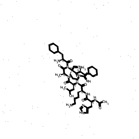 CC(=O)N[C@@H](Cc1c[nH]cn1)C(=O)N[C@@H](CCCCN)C(=O)N[C@@H](CC(C)C)C(=O)N[C@@H](C)C(=O)N(C(=O)[C@@H](N)CC1CCCCC1)[C@]([C]=O)(CCCNC(=N)N)C(=O)[C@@H](N)CC1CCCCC1